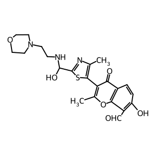 Cc1nc(C(O)NCCN2CCOCC2)sc1-c1c(C)oc2c(C=O)c(O)ccc2c1=O